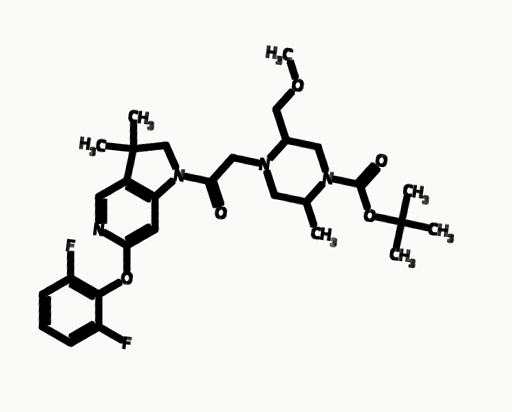 COCC1CN(C(=O)OC(C)(C)C)C(C)CN1CC(=O)N1CC(C)(C)c2cnc(Oc3c(F)cccc3F)cc21